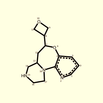 c1cnc2c(c1)OC(C1COC1)CC1CNCCN21